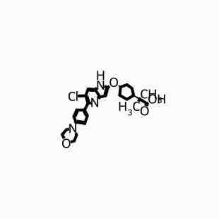 CC(C)(C(=O)O)[C@H]1CC[C@H](Oc2cc3nc(-c4ccc(N5CCOCC5)cc4)c(Cl)cc3[nH]2)CC1